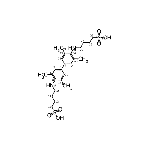 Cc1cc(-c2cc(C)c(NCCCCS(=O)(=O)O)c(C)c2)cc(C)c1NCCCCS(=O)(=O)O